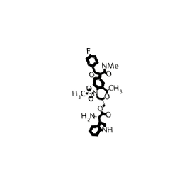 CNC(=O)c1c(-c2ccc(F)cc2)oc2cc3c(cc12)[C@H](C)O[C@H](COC(=O)[C@@H](N)c1c[nH]c2ccccc12)CN3S(C)(=O)=O